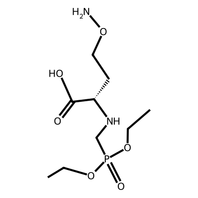 CCOP(=O)(CN[C@@H](CCON)C(=O)O)OCC